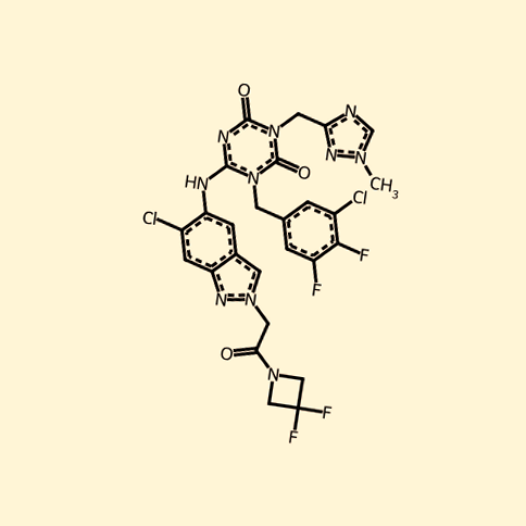 Cn1cnc(Cn2c(=O)nc(Nc3cc4cn(CC(=O)N5CC(F)(F)C5)nc4cc3Cl)n(Cc3cc(F)c(F)c(Cl)c3)c2=O)n1